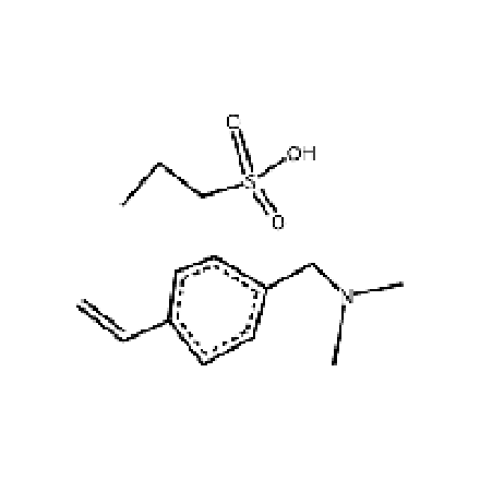 C=Cc1ccc(CN(C)C)cc1.CCCS(=O)(=O)O